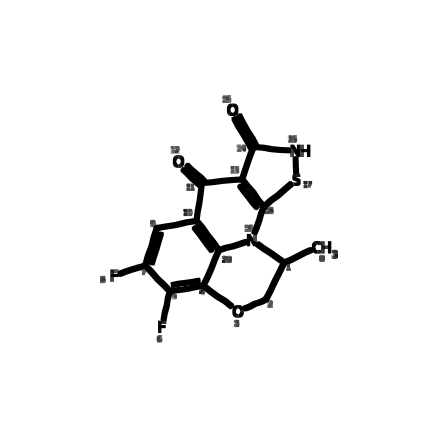 CC1COc2c(F)c(F)cc3c(=O)c4c(=O)[nH]sc4n1c23